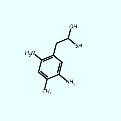 Cc1cc(N)c(CC(O)S)cc1N